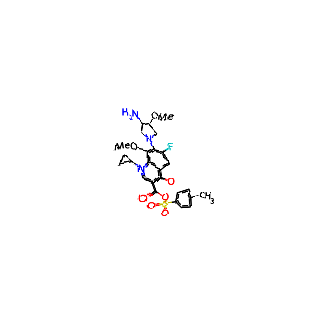 COc1c(N2CC(N)C(OC)C2)c(F)cc2c(=O)c(C(=O)OS(=O)(=O)c3ccc(C)cc3)cn(C3CC3)c12